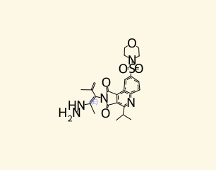 C=C(C)/C(=C(/C)NN)N1C(=O)c2c(C(C)C)nc3ccc(S(=O)(=O)N4CCOCC4)cc3c2C1=O